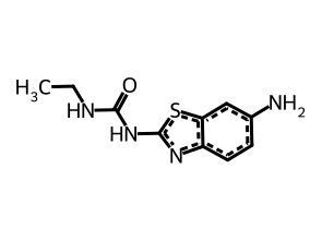 CCNC(=O)Nc1nc2ccc(N)cc2s1